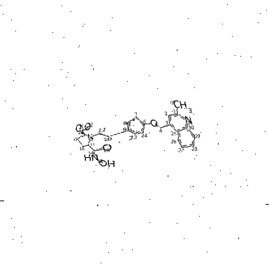 Cc1cc(COc2ccc(CCN3C(C(=O)NO)CCS3(=O)=O)cc2)c2ccccc2n1